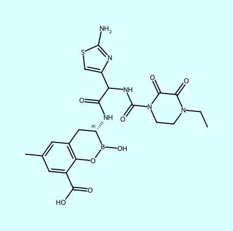 CCN1CCN(C(=O)NC(C(=O)N[C@H]2Cc3cc(C)cc(C(=O)O)c3OB2O)c2csc(N)n2)C(=O)C1=O